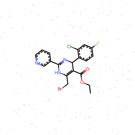 CCOC(=O)C1=C(CBr)NC(c2cccnc2)=NC1c1ccc(F)cc1Cl